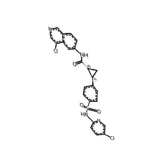 O=C(Nc1ccc2cncc(Cl)c2c1)[C@@H]1C[C@H]1c1ccc(S(=O)(=O)Nc2ccc(Cl)cn2)cc1